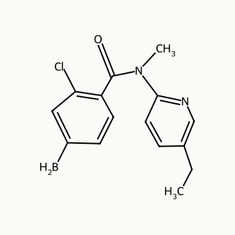 Bc1ccc(C(=O)N(C)c2ccc(CC)cn2)c(Cl)c1